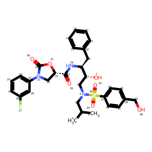 CC(C)CN(C[C@@H](O)[C@H](Cc1ccccc1)NC(=O)[C@@H]1CN(c2cccc(F)c2)C(=O)O1)S(=O)(=O)c1ccc(CO)cc1